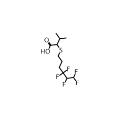 CC(C)C(SCCCC(F)(F)C(F)C(F)F)C(=O)O